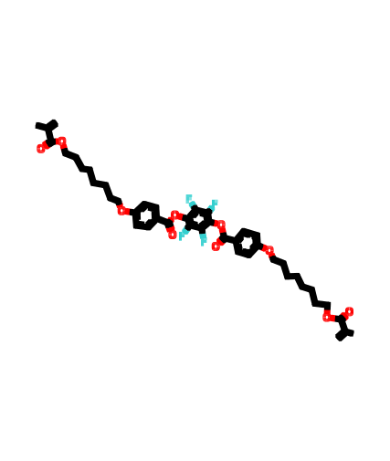 C=C(C)C(=O)OCCCCCCCCOc1ccc(C(=O)Oc2c(F)c(F)c(OC(=O)c3ccc(OCCCCCCCCOC(=O)C(=C)C)cc3)c(F)c2F)cc1